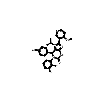 COc1ccncc1-c1nc2c(n1C(C)C)C(c1ccc(Cl)cc1)N(c1cccc(Cl)c1F)C(=O)N2